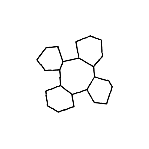 C1CCC2C(C1)C1CCCCC1C1CCCCC1C1CCCCC21